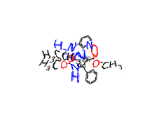 CCOC(=O)[C@@H](Nc1ncccc1N)[C@H](NC(=O)OC(C)(C)C)c1ccccc1